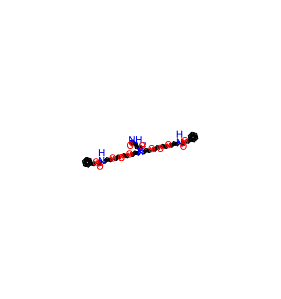 NC(=O)CCC(=O)N(CCCOCCOCCOCCCNC(=O)OCc1ccccc1)CCCOCCOCCOCCCNC(=O)OCc1ccccc1